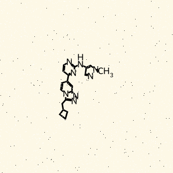 Cn1cc(Nc2nccc(-c3ccn4c(CC5CCC5)nnc4c3)n2)cn1